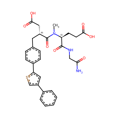 CN(C(=O)[C@@H](CC(=O)O)Cc1ccc(-c2cc(-c3ccccc3)cs2)cc1)[C@@H](CCC(=O)O)C(=O)NCC(N)=O